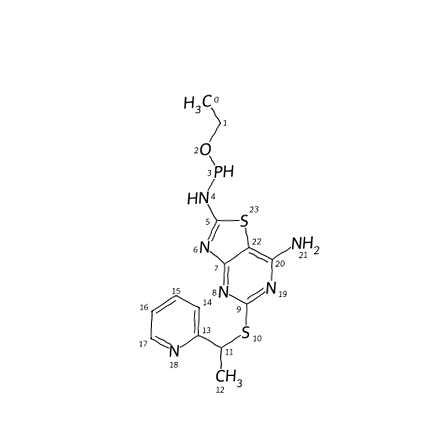 CCOPNc1nc2nc(SC(C)c3ccccn3)nc(N)c2s1